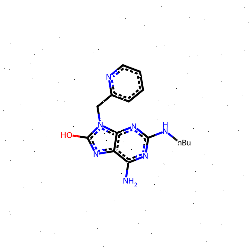 CCCCNc1nc(N)c2nc(O)n(Cc3ccccn3)c2n1